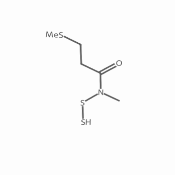 CSCCC(=O)N(C)SS